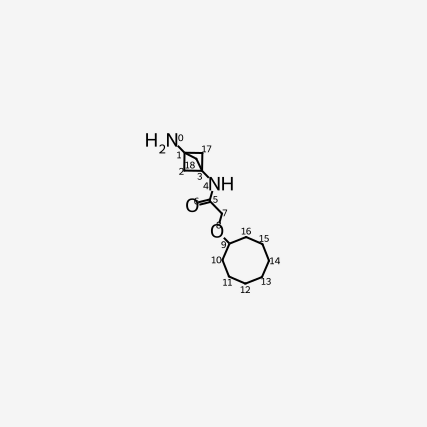 NC12CC(NC(=O)COC3CCCCCCC3)(C1)C2